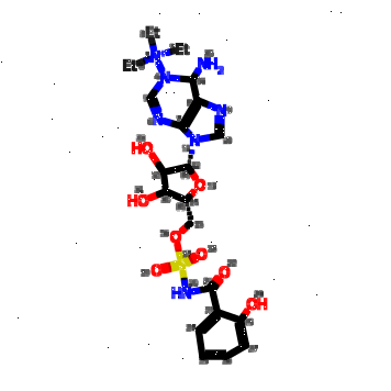 CC[N+](CC)(CC)N1C=Nc2c(ncn2[C@@H]2O[C@H](COS(=O)(=O)NC(=O)c3ccccc3O)C(O)C2O)C1N